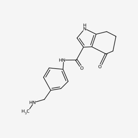 CNCc1ccc(NC(=O)c2c[nH]c3c2C(=O)CCC3)cc1